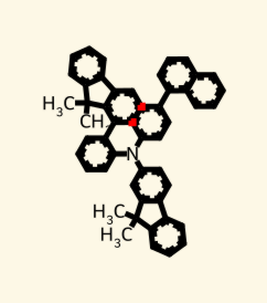 CC1(C)c2ccccc2-c2ccc(N(c3ccc(-c4cccc5ccccc45)cc3)c3ccccc3-c3cccc4c3C(C)(C)c3ccccc3-4)cc21